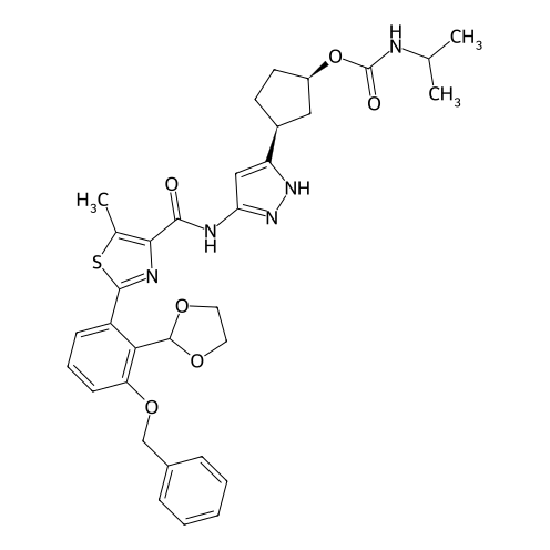 Cc1sc(-c2cccc(OCc3ccccc3)c2C2OCCO2)nc1C(=O)Nc1cc([C@H]2CC[C@@H](OC(=O)NC(C)C)C2)[nH]n1